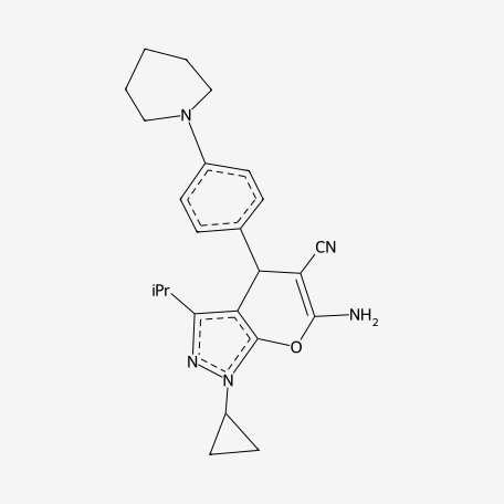 CC(C)c1nn(C2CC2)c2c1C(c1ccc(N3CCCCC3)cc1)C(C#N)=C(N)O2